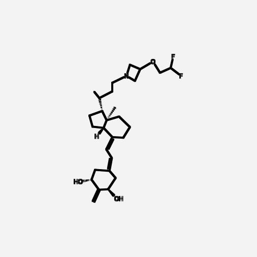 C=C1[C@H](O)CC(=C/C=C2\CCC[C@]3(C)[C@@H](C(C)CCN4CC(OCC(F)F)C4)CC[C@@H]23)C[C@H]1O